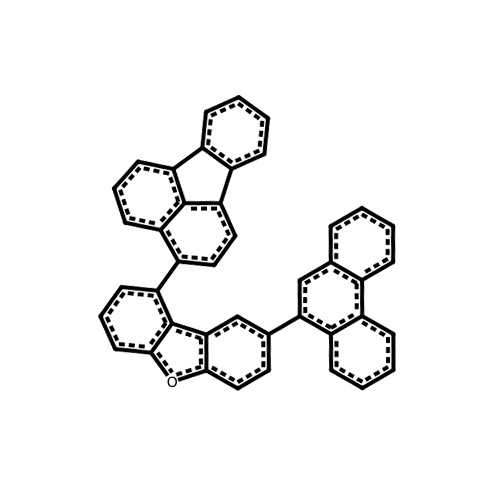 c1ccc2c(c1)-c1cccc3c(-c4cccc5oc6ccc(-c7cc8ccccc8c8ccccc78)cc6c45)ccc-2c13